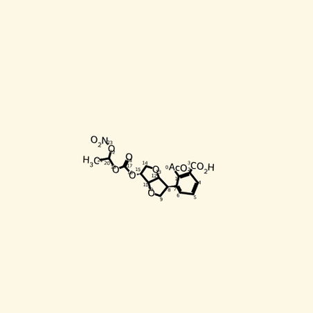 CC(=O)Oc1c(C(=O)O)cccc1[C@H]1COC2C1OC[C@H]2OC(=O)OC(C)O[N+](=O)[O-]